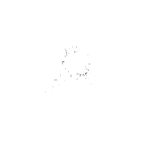 C=CC(=O)N[S@]1(=O)=NC(=O)C(C)(C)OC/C=C/[C@@H](OC)[C@@H]2CC[C@H]2CN2C[C@@]3(CCCc4cc(Cl)ccc43)COc3ccc1cc32